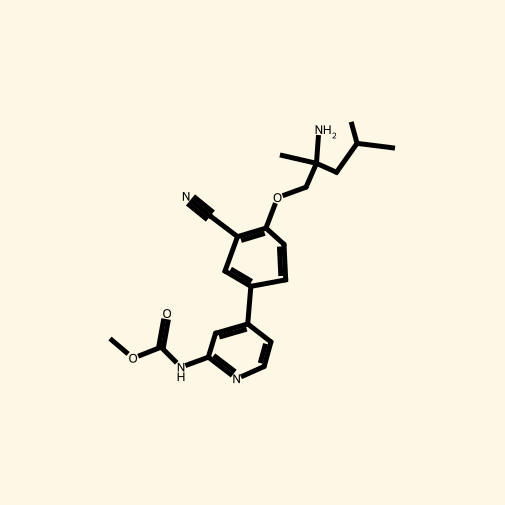 COC(=O)Nc1cc(-c2ccc(OCC(C)(N)CC(C)C)c(C#N)c2)ccn1